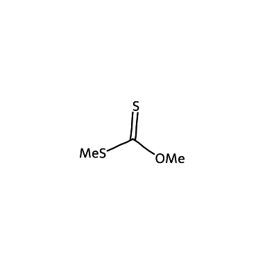 [CH2]SC(=S)OC